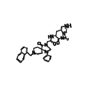 NC(=O)C(Cc1c[nH]cn1)NC(=O)CN1CN(c2ccccc2)C2(CCN(Cc3cccc4ccccc34)CC2)C1=O